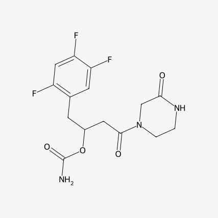 NC(=O)OC(CC(=O)N1CCNC(=O)C1)Cc1cc(F)c(F)cc1F